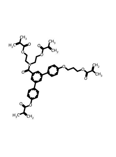 C=C(C)C(=O)OCCCOc1ccc(-c2cc(C(=O)N(CCOC(=O)C(=C)C)CCOC(=O)C(=C)C)cc(-c3ccc(OC(=O)C(=C)C)cc3)c2)cc1